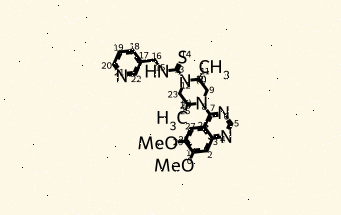 COc1cc2ncnc(N3C[C@@H](C)N(C(=S)NCc4cccnc4)C[C@@H]3C)c2cc1OC